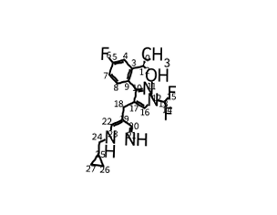 C[C@@H](O)c1cc(F)ccc1-c1nn(C(F)F)cc1C/C(C=N)=C/NCC1CC1